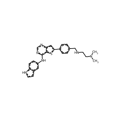 CN(C)CCNCc1ccc(-c2cc3ncnc(Nc4ccc5[nH]ccc5c4)c3s2)cc1